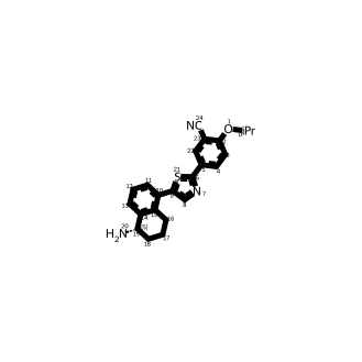 CC(C)Oc1ccc(-c2ncc(-c3cccc4c3CCC[C@@H]4N)s2)cc1C#N